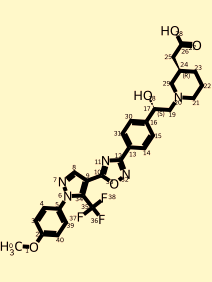 COc1ccc(-n2ncc(-c3nc(-c4ccc([C@H](O)CN5CCC[C@H](CC(=O)O)C5)cc4)no3)c2C(F)(F)F)cc1